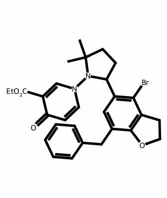 CCOC(=O)c1cn(N2C(c3cc(Cc4ccccc4)c4c(c3Br)CCO4)CCC2(C)C)ccc1=O